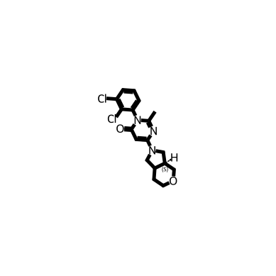 Cc1nc(N2CC3CCOC[C@@H]3C2)cc(=O)n1-c1cccc(Cl)c1Cl